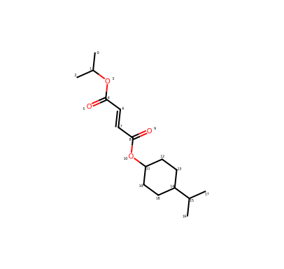 CC(C)OC(=O)/C=C/C(=O)OC1CCC(C(C)C)CC1